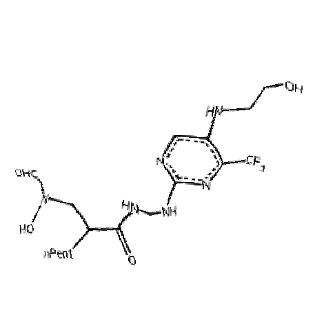 CCCCCC(CN(O)C=O)C(=O)NNc1ncc(NCCO)c(C(F)(F)F)n1